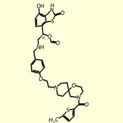 Cc1ccc(C(=O)N2CCOC3(CCN(CCOc4ccc(CNC[C@H](OC=O)c5ccc(O)c6[nH]c(=O)sc56)cc4)CC3)C2)s1